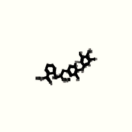 O=C(O)C(=O)c1ccccc1N[C@@H](Cc1cc(I)c(Oc2cc(I)c(O)c(I)c2)c(I)c1)C(=O)O